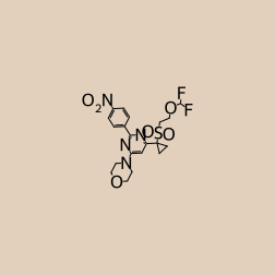 O=[N+]([O-])c1ccc(-c2nc(N3CCOCC3)cc(C3(S(=O)(=O)CCOC(F)F)CC3)n2)cc1